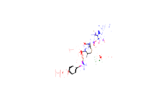 CO/N=C(\C(=O)N[C@@H]1C(=O)N2C(C(=O)O)=C(CSc3nnc(-c4ccc(O)cc4)o3)CS[C@H]12)c1csc(N)n1.O=C(O)C(F)(F)F